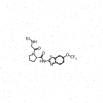 CCNCC(=O)N1CCC[C@@H]1C(=O)Nc1nc2ccc(OC(F)(F)F)cc2s1